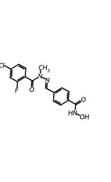 CN(N=Cc1ccc(C(=O)NO)cc1)C(=O)c1ccc(Cl)cc1F